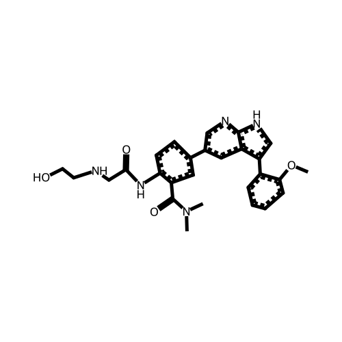 COc1ccccc1-c1c[nH]c2ncc(-c3ccc(NC(=O)CNCCO)c(C(=O)N(C)C)c3)cc12